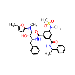 Cc1ccc(N(C)C[C@@H](O)[C@H](Cc2ccccc2)NC(=O)c2cc(C(=O)N[C@H](C)c3ccccc3)cc(N(C)S(C)(=O)=O)c2)o1